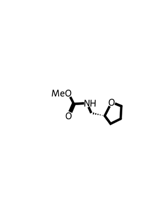 COC(=O)NC[C@H]1CCCO1